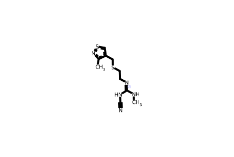 CN/C(=N/CCSCc1csnc1C)NC#N